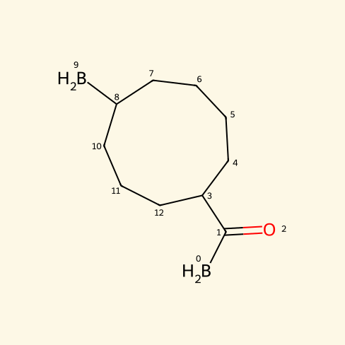 BC(=O)C1CCCCC(B)CCC1